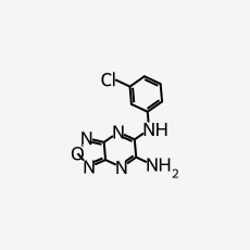 Nc1nc2nonc2nc1Nc1cccc(Cl)c1